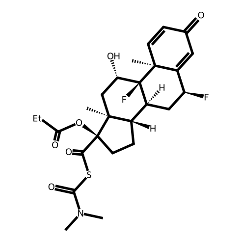 CCC(=O)O[C@]1(C(=O)SC(=O)N(C)C)CC[C@H]2[C@@H]3C[C@H](F)C4=CC(=O)C=C[C@]4(C)[C@@]3(F)[C@@H](O)C[C@@]21C